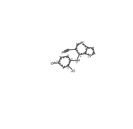 N#Cc1cnc2ccsc2c1Nc1ccc(Cl)cc1Cl